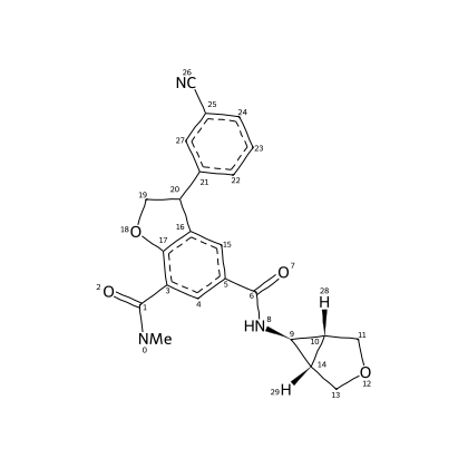 CNC(=O)c1cc(C(=O)N[C@H]2[C@@H]3COC[C@@H]32)cc2c1OCC2c1cccc(C#N)c1